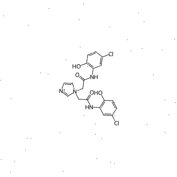 O=C(C[N+]1(CC(=O)Nc2cc(Cl)ccc2O)C=C[N+]=C1)Nc1cc(Cl)ccc1O